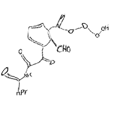 CCCC(=O)NC(=O)C(=O)c1cccc(NOOOO)c1C=O